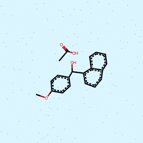 CC(=O)O.COc1ccc(C(O)c2cccc3ccccc23)cc1